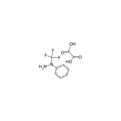 NN(c1ccccc1)C(F)(F)F.O=C(O)C(=O)O